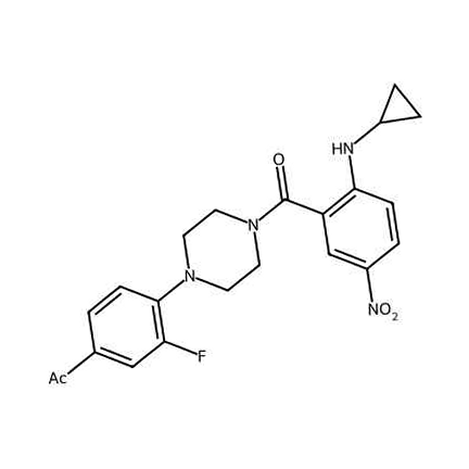 CC(=O)c1ccc(N2CCN(C(=O)c3cc([N+](=O)[O-])ccc3NC3CC3)CC2)c(F)c1